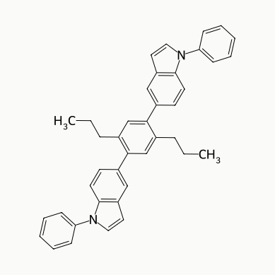 CCCc1cc(-c2ccc3c(ccn3-c3ccccc3)c2)c(CCC)cc1-c1ccc2c(ccn2-c2ccccc2)c1